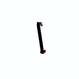 CC/C=C\CC(=O)NCCOCCOCCOCCOCCOCCOCCOCCOCCOCCOCCOCCOCCOCCOCCOCCOCCOCCOCCOCCOCCOCCOCCOCCN